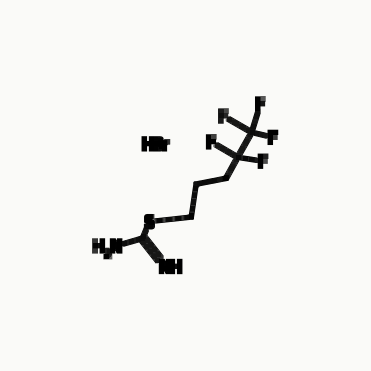 Br.N=C(N)SCCCC(F)(F)C(F)(F)F